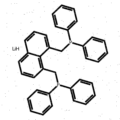 [LiH].c1ccc(P(Cc2cccc3cccc(CP(c4ccccc4)c4ccccc4)c23)c2ccccc2)cc1